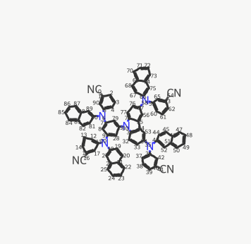 N#Cc1cccc(N(c2cc(N(c3cccc(C#N)c3)c3ccc4ccccc4c3)cc(-n3c4ccc(N(c5cccc(C#N)c5)c5ccc6ccccc6c5)cc4c4cc(N(c5cccc(C#N)c5)c5ccc6ccccc6c5)ccc43)c2)c2ccc3ccccc3c2)c1